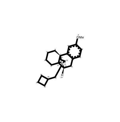 COc1ccc2c(c1)[C@@]13CCCCC1(O)[C@@H](C2)N(CC1CCC1)CC3